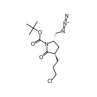 CC(C)(C)OC(=O)N1C(=O)[C@H](CCCCl)C[C@H]1CN=[N+]=[N-]